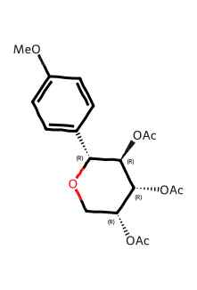 COc1ccc([C@H]2OC[C@@H](OC(C)=O)[C@@H](OC(C)=O)[C@@H]2OC(C)=O)cc1